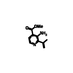 C=C(C)c1nccc(C(=O)OC)c1N